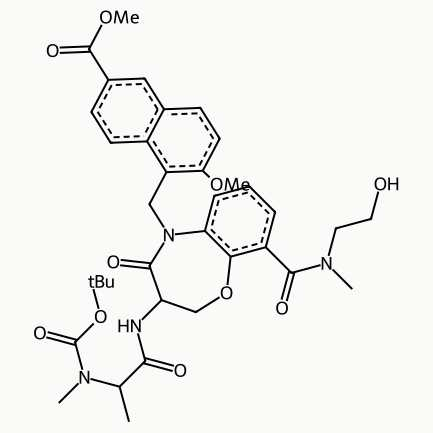 COC(=O)c1ccc2c(CN3C(=O)C(NC(=O)C(C)N(C)C(=O)OC(C)(C)C)COc4c(C(=O)N(C)CCO)cccc43)c(OC)ccc2c1